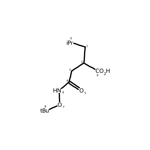 CC(C)CC(CC(=O)NOC(C)(C)C)C(=O)O